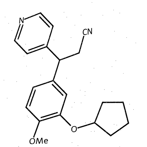 COc1ccc(C(CC#N)c2ccncc2)cc1OC1CCCC1